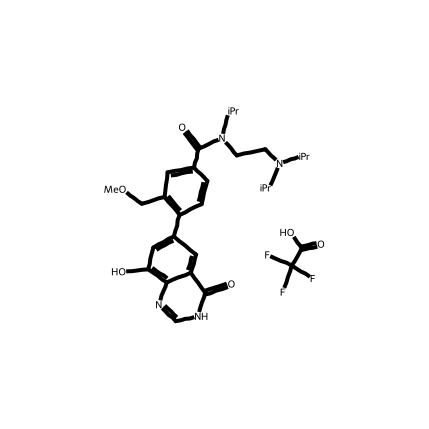 COCc1cc(C(=O)N(CCN(C(C)C)C(C)C)C(C)C)ccc1-c1cc(O)c2nc[nH]c(=O)c2c1.O=C(O)C(F)(F)F